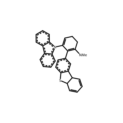 CNC1=C(c2ccc3c(c2)C2C=CC=CC2S3)C(n2c3ccccc3c3ccccc32)=CCC1